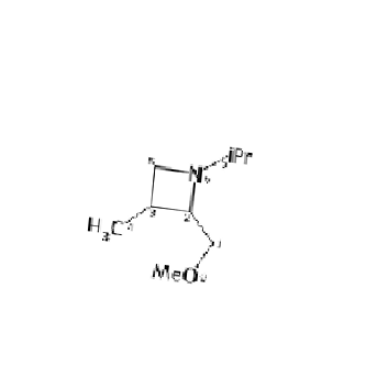 COCC1C(C)CN1C(C)C